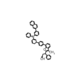 C#CCC(c1ccccc1)c1oc2c(-c3ccc(C4C=C(N(c5ccccc5)c5cccc(-c6ccc7ccccc7c6)c5)C=CC4)cc3)cccc2c1C